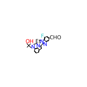 CCC1CN(CC(C)(C)CO)c2cccc3cc(-c4nc5cc(C=O)cc(F)c5n4C)n1c23